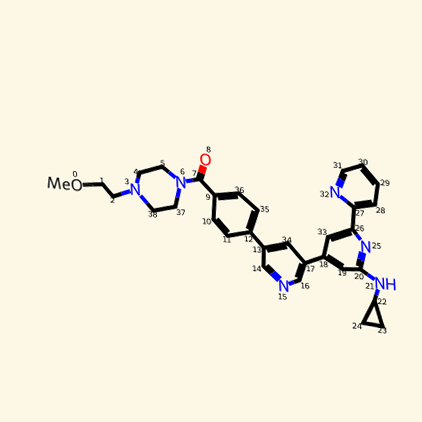 COCCN1CCN(C(=O)c2ccc(-c3cncc(-c4cc(NC5CC5)nc(-c5ccccn5)c4)c3)cc2)CC1